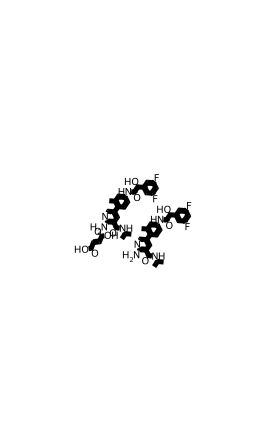 Cc1cc(NC(=O)[C@H](O)c2cc(F)cc(F)c2)ccc1-c1cnc(N)c(C(=O)NC(C)C)c1.Cc1cc(NC(=O)[C@H](O)c2cc(F)cc(F)c2)ccc1-c1cnc(N)c(C(=O)NC(C)C)c1.O=C(O)/C=C/C(=O)O